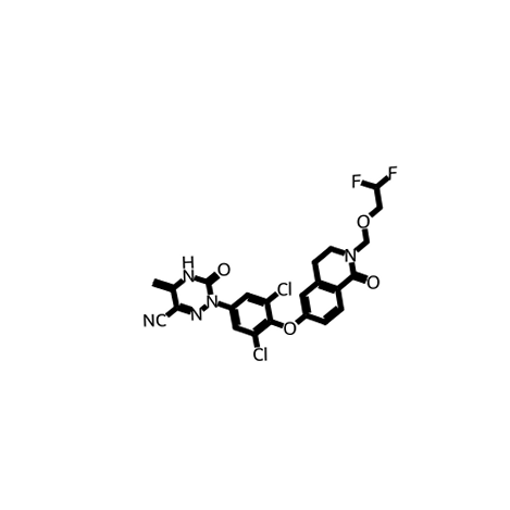 C=C1NC(=O)N(c2cc(Cl)c(Oc3ccc4c(c3)CCN(COCC(F)F)C4=O)c(Cl)c2)N=C1C#N